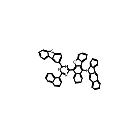 c1ccc2cc3c(cc2c1)c1ccccc1n3-c1c2ccccc2c(-c2nc(-c3ccc4sc5ccccc5c4c3)nc(-c3cccc4ccccc34)n2)c2oc3ccccc3c12